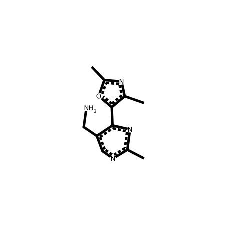 Cc1ncc(CN)c(-c2oc(C)nc2C)n1